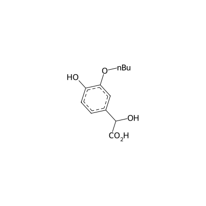 CCCCOc1cc(C(O)C(=O)O)ccc1O